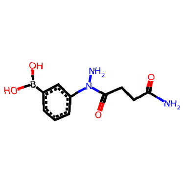 NC(=O)CCC(=O)N(N)c1cccc(B(O)O)c1